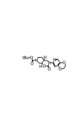 CC(C)(C)OC(=O)N1CC[C@@H]2CN(c3cc4c(cn3)OCCO4)C(=O)O[C@H]2C1